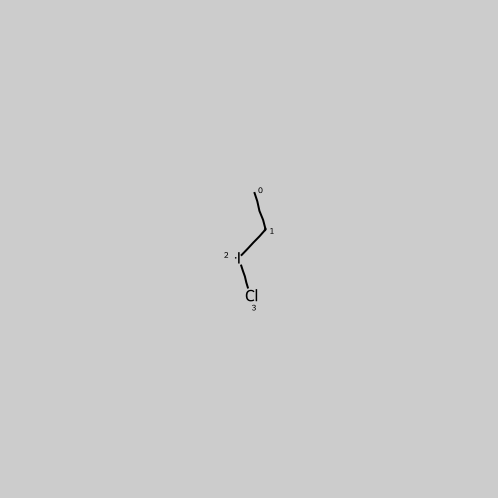 CC[I]Cl